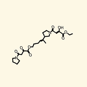 CCOC(=O)/C(O)=C/C(=O)N1CCC(/C(C)=C/CCCOC(=O)C(=O)CC(=O)N2CCCC2)C1